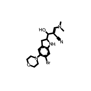 CN(C)C=C(C#N)C(O)C1Cc2cc(N3CCOCC3)c(Br)cc2N1